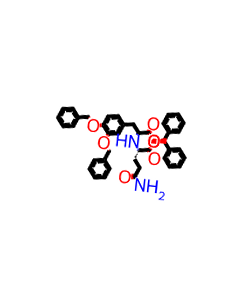 NC(=O)CC[C@H](NC(Cc1ccc(OCc2ccccc2)c(OCc2ccccc2)c1)C(=O)OCc1ccccc1)C(=O)OCc1ccccc1